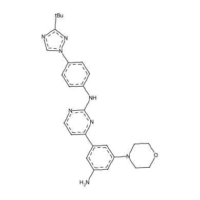 CC(C)(C)c1ncn(-c2ccc(Nc3nccc(-c4cc(N)cc(N5CCOCC5)c4)n3)cc2)n1